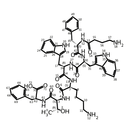 C[C@@H](O)[C@H](NC(=O)[C@H](CCCCN)NC(=O)[C@@H](Cc1c[nH]c2ccccc12)NC(=O)[C@H](Cc1c[nH]c2ccccc12)NC(=O)[C@H](Cc1ccccc1)NC(=O)CCCN)C(=O)N[C@@H](Cc1ccccc1)C(=O)O